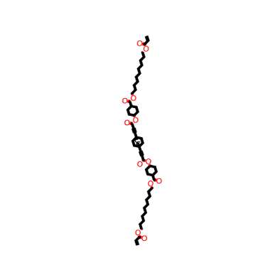 C=CC(=O)OCCCCCCCCCCCOC(=O)C1CCC(OC(=O)C#CC23CCC(C#CC(=O)OC4CCC(C(=O)OCCCCCCCCCCCOC(=O)C=C)CC4)(CC2)CC3)CC1